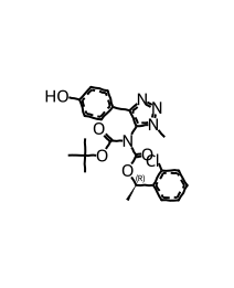 C[C@@H](OC(=O)N(C(=O)OC(C)(C)C)c1c(-c2ccc(O)cc2)nnn1C)c1ccccc1Cl